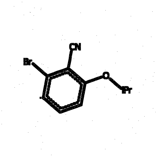 CC(C)Oc1cc[c]c(Br)c1C#N